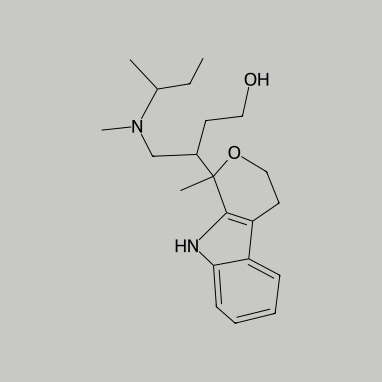 CCC(C)N(C)CC(CCO)C1(C)OCCc2c1[nH]c1ccccc21